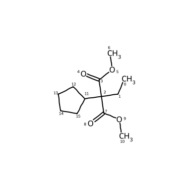 CCC(C(=O)OC)(C(=O)OC)C1CCCC1